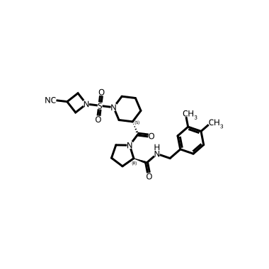 Cc1ccc(CNC(=O)[C@H]2CCCN2C(=O)[C@H]2CCCN(S(=O)(=O)N3CC(C#N)C3)C2)cc1C